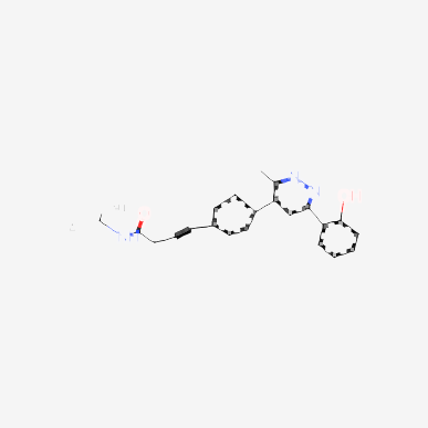 CC(=O)[C@@H](NC(=O)CC#Cc1ccc(-c2cc(-c3ccccc3O)nnc2C)cc1)C(C)(C)C